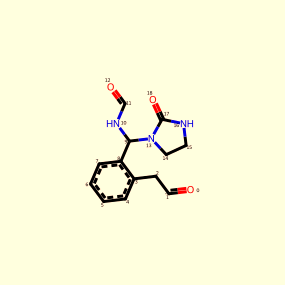 O=[C]Cc1ccccc1C(NC=O)N1CCNC1=O